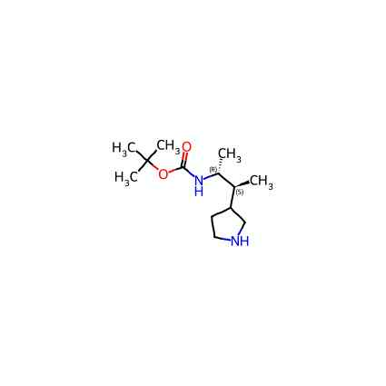 C[C@@H](NC(=O)OC(C)(C)C)[C@@H](C)C1CCNC1